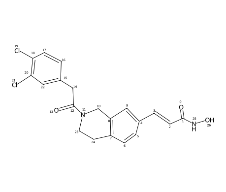 O=C(/C=C/c1ccc2c(c1)CN(C(=O)Cc1ccc(Cl)c(Cl)c1)CC2)NO